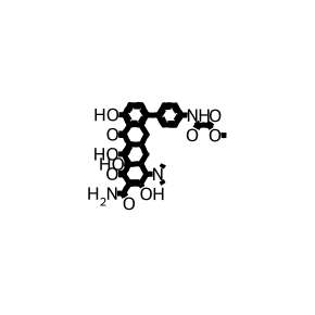 COC(=O)C(=O)Nc1ccc(-c2ccc(O)c3c2CC2CC4C(N(C)C)C(O)=C(C(N)=O)C(=O)C4(O)C(O)=C2C3=O)cc1